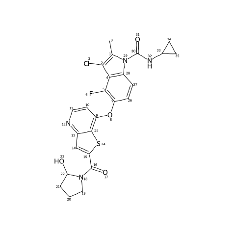 Cc1c(Cl)c2c(F)c(Oc3ccnc4cc(C(=O)N5CCCC5O)sc34)ccc2n1C(=O)NC1CC1